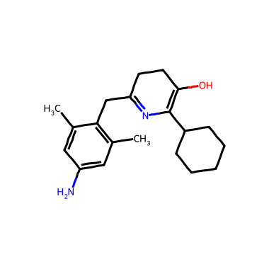 Cc1cc(N)cc(C)c1CC1=NC(C2CCCCC2)=C(O)CC1